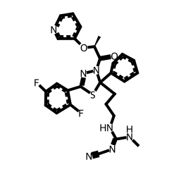 CN/C(=N/C#N)NCCCC1(c2ccccc2)SC(c2cc(F)ccc2F)=NN1C(=O)[C@H](C)Oc1cccnc1